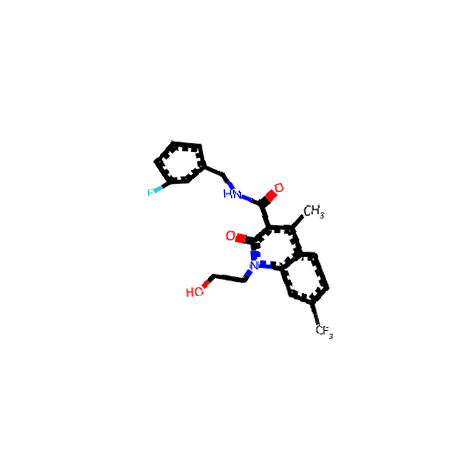 Cc1c(C(=O)NCc2cccc(F)c2)c(=O)n(CCO)c2cc(C(F)(F)F)ccc12